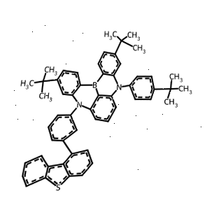 CC(C)(C)c1ccc(N2c3cc(C(C)(C)C)ccc3B3c4ccc(C(C)(C)C)cc4N(c4cccc(-c5cccc6sc7ccccc7c56)c4)c4cccc2c43)cc1